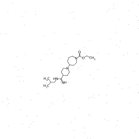 CCOC(=O)N1CCCC(N2CCC(C(=N)NCC(C)C)CC2)CC1